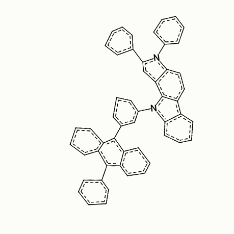 c1ccc(-c2c3ccccc3c(-c3cccc(-n4c5ccccc5c5ccc6c(cc(-c7ccccc7)n6-c6ccccc6)c54)c3)c3ccccc23)cc1